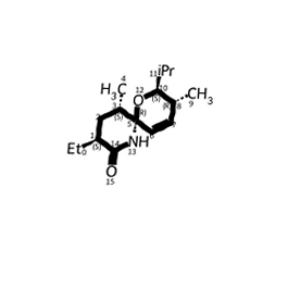 CC[C@H]1C[C@H](C)[C@@]2(C=C[C@@H](C)[C@H](C(C)C)O2)NC1=O